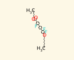 CCCCCCCCCOc1ccc(-c2ccc(-c3ccc(C4COC(CCCCC)OC4)cc3F)cc2)c(F)c1F